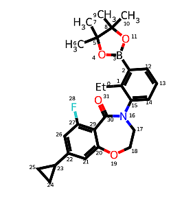 CCc1c(B2OC(C)(C)C(C)(C)O2)cccc1N1CCOc2cc(C3CC3)cc(F)c2C1=O